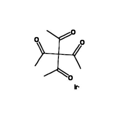 CC(=O)C(C(C)=O)(C(C)=O)C(C)=O.[Ir]